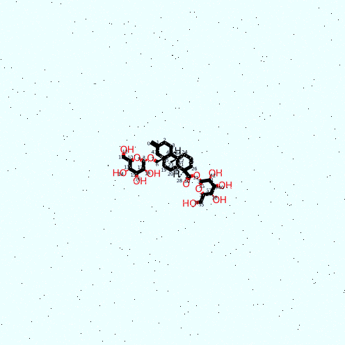 C=C1CC[C@@H]2[C@](CO[C@@H]3OC(CO)[C@@H](O)C(O)[C@@H]3O)(CC[C@H]3[C@@]2(C)CCC[C@@]3(C)C(=O)O[C@@H]2OC(CO)[C@@H](O)C(O)[C@@H]2O)C1